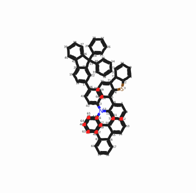 C1=CC2Sc3c(-c4ccccc4N(c4ccc(-c5ccc6c(c5)C(c5ccccc5)(c5ccccc5)c5ccccc5-6)cc4)c4ccccc4-c4ccccc4-c4ccccc4-c4ccccc4)cccc3C2C=C1